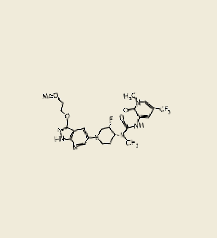 COCCOc1n[nH]c2ncc(N3CC[C@@H](N(C)C(=O)Nc4cc(C(F)(F)F)cn(C)c4=O)[C@@H](F)C3)cc12